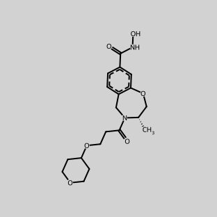 C[C@H]1COc2cc(C(=O)NO)ccc2CN1C(=O)CCOC1CCOCC1